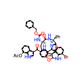 CC(=O)Oc1cccc2c(C(=O)CNC(=O)c3nc4oc3[C@]35c6cc(ccc6OC3Nc3c(Br)cccc35)C[C@H](NC(=O)OCc3ccccc3)C(=O)N[C@H]4C(C)C)c[nH]c12